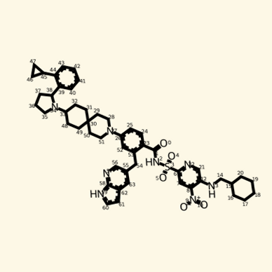 O=C(NS(=O)(=O)c1cc([N+](=O)[O-])c(NCC2CCCCC2)cn1)c1ccc(N2CCC3(CCC(N4CCCC4c4ccccc4C4CC4)CC3)CC2)cc1Cc1cnc2[nH]ccc2c1